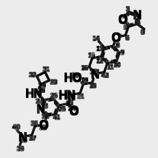 Cc1ncoc1COc1ccc2c(c1C)CCN(CC(O)CNC(=O)c1cc(NC3CCC3)nc(OCCN(C)C)c1)C2